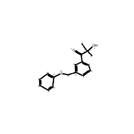 CC(C)(O)C(=O)c1cccc(CSc2ccccc2)c1